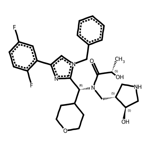 C[C@H](O)C(=O)N(C[C@@H]1CNC[C@H]1O)[C@@H](c1nc(-c2cc(F)ccc2F)cn1Cc1ccccc1)C1CCOCC1